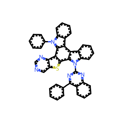 c1ccc(-c2nc(-n3c4ccccc4c4c5c6ccccc6n(-c6ccccc6)c5c5c6ncncc6sc5c43)nc3ccccc23)cc1